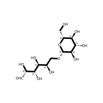 O=C[C@H](O)[C@@H](O)[C@@H](O)[C@H](O)CO[C@@H]1O[C@H](CO)[C@@H](O)[C@H](O)[C@H]1O